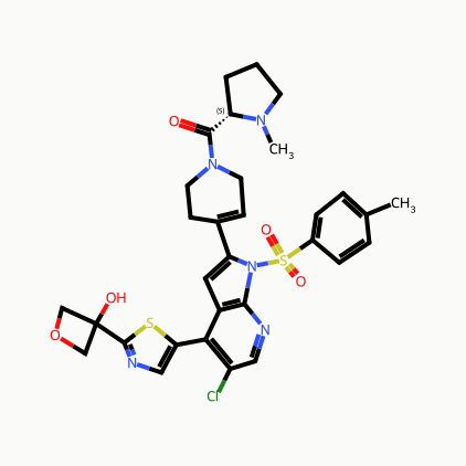 Cc1ccc(S(=O)(=O)n2c(C3=CCN(C(=O)[C@@H]4CCCN4C)CC3)cc3c(-c4cnc(C5(O)COC5)s4)c(Cl)cnc32)cc1